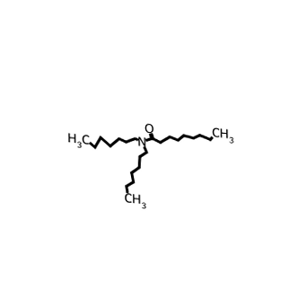 CCCCCCCCC(=O)N(CCCCCCC)CCCCCCC